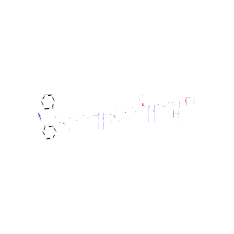 CCO[SiH2]CCCNC(=O)OCCOC(=O)CNCCCCCC(=O)N1Cc2ccccc2/C=C\c2ccccc21